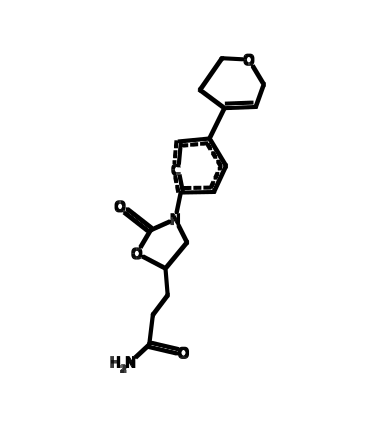 NC(=O)CCC1CN(c2ccc(C3=CCOCC3)cc2)C(=O)O1